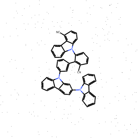 N#Cc1cccc(-n2c3ccccc3c3c(C#N)cccc32)c1-c1cccc(-n2c3ccccc3c3ccc(-n4c5ccccc5c5ccccc54)cc32)c1